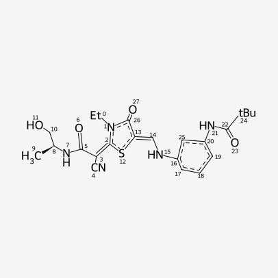 CCn1c(=C(C#N)C(=O)N[C@@H](C)CO)sc(=CNc2cccc(NC(=O)C(C)(C)C)c2)c1=O